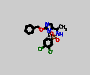 CCn1c(C(C)NS(=O)(=O)c2ccc(Cl)c(Cl)c2)cnc1OCc1ccccc1